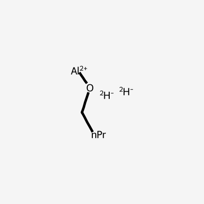 CCCC[O][Al+2].[2H-].[2H-]